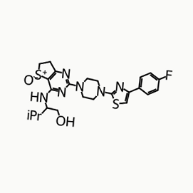 CC(C)C(CO)Nc1nc(N2CCN(c3nc(-c4ccc(F)cc4)cs3)CC2)nc2c1[S+]([O-])CC2